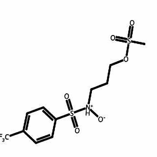 CS(=O)(=O)OCCC[NH+]([O-])S(=O)(=O)c1ccc(C(F)(F)F)cc1